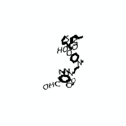 Cc1ccc([C@@](O)(C(=O)O[C@H]2CC[C@H](N(C)CCCn3nnc4cc(C=O)c5c(c43)OCO5)CC2)c2cccs2)s1